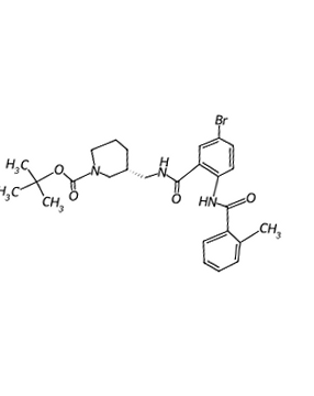 Cc1ccccc1C(=O)Nc1ccc(Br)cc1C(=O)NC[C@H]1CCCN(C(=O)OC(C)(C)C)C1